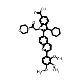 COc1ccc(-c2ccc3cc(-c4c(C5CCCCC5)c5ccc(C(=O)O)cc5n4CC(=O)N4CCOCC4)ccc3n2)c(OC)c1OC